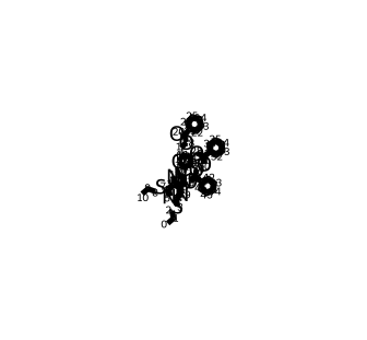 CCCSc1nc(SCCC)c2nn([C@@H]3O[C@H](COC(=O)c4ccccc4)[C@@H](OC(=O)c4ccccc4)[C@H]3OC(=O)c3ccccc3)nc2n1